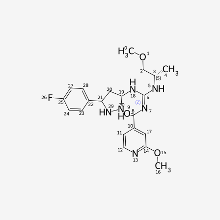 COC[C@H](C)N/C(=N/C(=O)c1ccnc(OC)c1)NC1CC(c2ccc(F)cc2)NN1